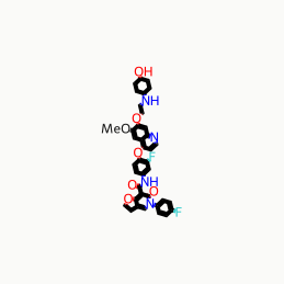 COc1cc2c(Oc3ccc(NC(=O)c4c5c(cn(-c6ccc(F)cc6)c4=O)CCO5)cc3F)ccnc2cc1OCCNC1CCC(O)CC1